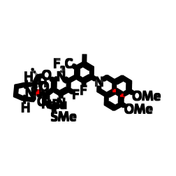 COc1ccc(CN(Cc2ccc(OC)cc2)c2cc(C)c(C(F)(F)F)c(-c3nc4c5c(nc(SC)nc5c3F)N3C[C@H]5CC[C@@H]([C@H]3[C@H](C)O4)N5C(=O)OC(C)(C)C)c2F)cc1